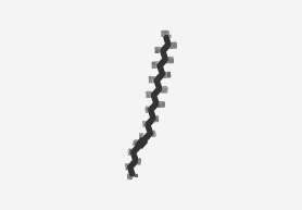 [CH2]CCCC#CCCCCCCCCCCCCC[CH2]